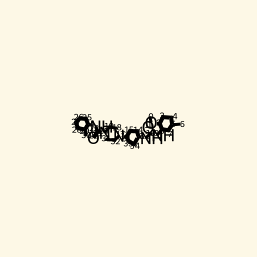 COc1ccc(C)cc1NC(=O)Nc1ccc(N2CCN(C(=O)Nc3ccccc3C)CC2)cc1